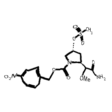 COC(C(N)=O)[C@@H]1C[C@@H](OS(C)(=O)=O)CN1C(=O)OCc1ccc([N+](=O)[O-])cc1